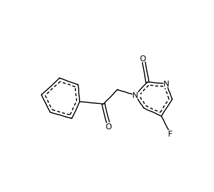 O=C(Cn1cc(F)cnc1=O)c1ccccc1